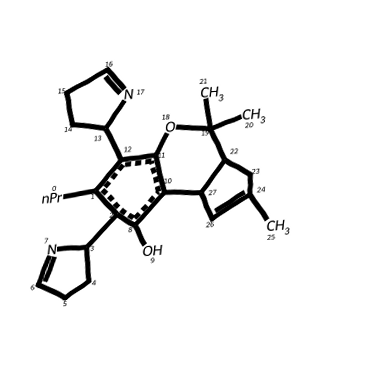 CCCc1c(C2CCC=N2)c(O)c2c(c1C1CCC=N1)OC(C)(C)C1CC(C)=CC21